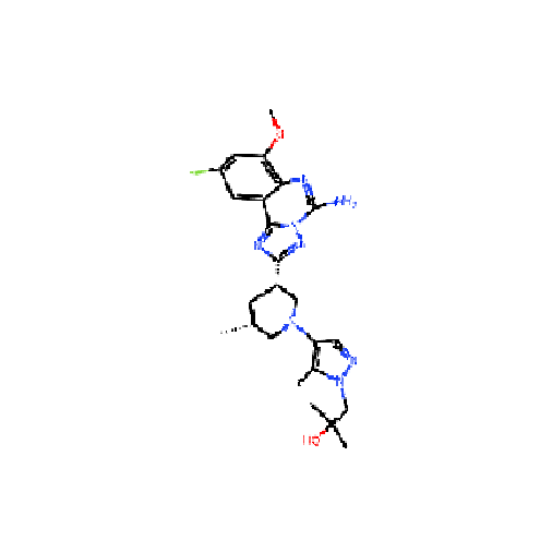 COc1cc(F)cc2c1nc(N)n1nc([C@H]3C[C@@H](C)CN(c4cnn(CC(C)(C)O)c4C)C3)nc21